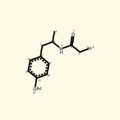 [2H]CC(=O)NC(C)Cc1ccc(OC(C)=O)cc1